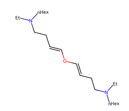 CCCCCCN(CC)CCC=COC=CCCN(CC)CCCCCC